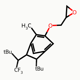 Cc1c(OCC2CO2)cc2cc1C(C(C(C)(C)C)C(F)(F)F)C2C(C)(C)C